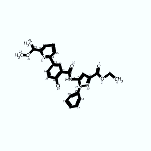 CCOC(=O)c1cc(NC(=O)c2cc(-c3cccc(C(C)OC)n3)ccc2Cl)n(-c2ccccc2)n1